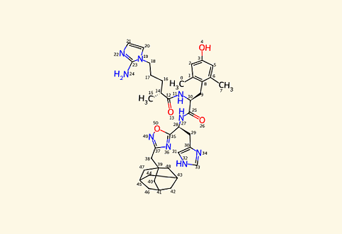 Cc1cc(O)cc(C)c1C[C@H](NC(=O)[C@H](C)CCCn1ccnc1N)C(=O)N[C@@H](Cc1c[nH]cn1)c1nc(CC23CC4CC(CC(C4)C2)C3)no1